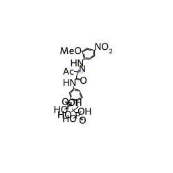 COc1cc([N+](=O)[O-])ccc1N/N=C(\C(C)=O)C(=O)Nc1ccc(CC(O)(P(=O)(O)O)P(=O)(O)O)cc1